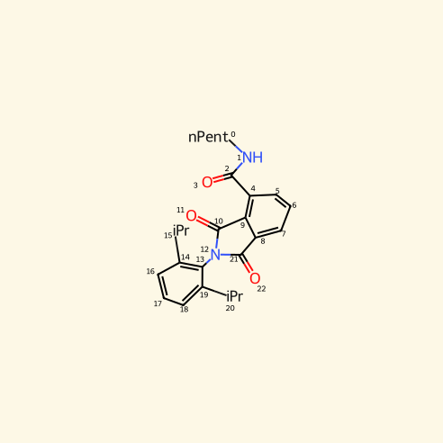 CCCCCNC(=O)c1cccc2c1C(=O)N(c1c(C(C)C)cccc1C(C)C)C2=O